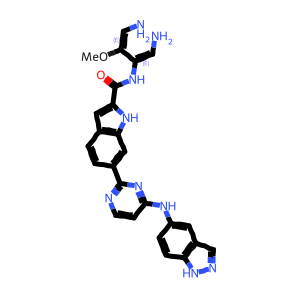 COC(=C/N)/C(=C\N)NC(=O)c1cc2ccc(-c3nccc(Nc4ccc5[nH]ncc5c4)n3)cc2[nH]1